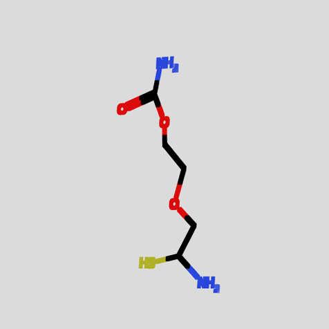 NC(=O)OCCOCC(N)S